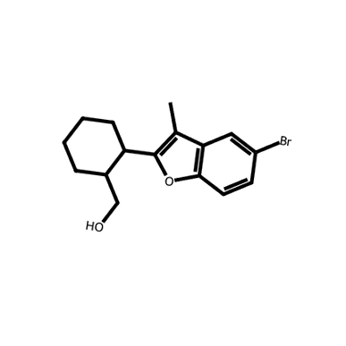 Cc1c(C2CCCCC2CO)oc2ccc(Br)cc12